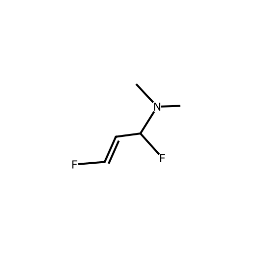 CN(C)C(F)C=CF